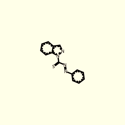 S=C(N=Nc1ccccc1)n1ncc2ccccc21